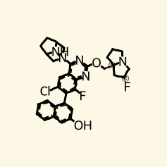 Oc1cc(-c2c(Cl)cc3c(N4CC5CCC(C4)N5)nc(OC[C@@]45CCCN4C[C@H](F)C5)nc3c2F)c2ccccc2c1